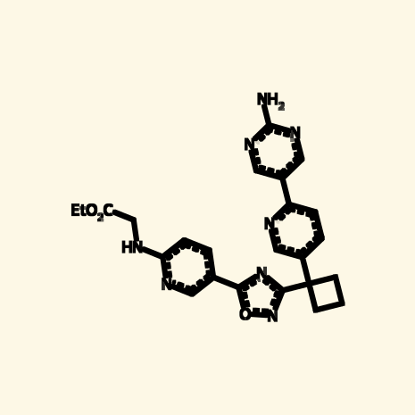 CCOC(=O)CNc1ccc(-c2nc(C3(c4ccc(-c5cnc(N)nc5)nc4)CCC3)no2)cn1